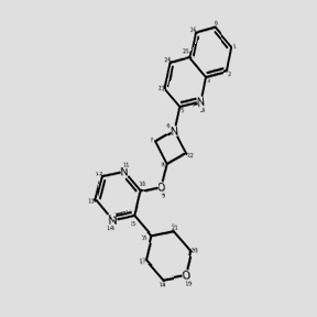 c1ccc2nc(N3CC(Oc4nccnc4C4CCOCC4)C3)ccc2c1